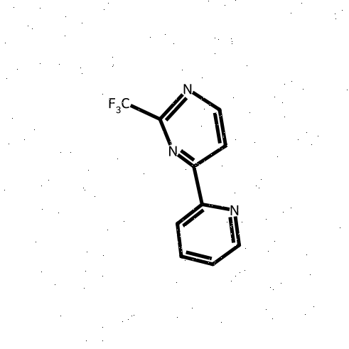 FC(F)(F)c1nccc(-c2ccccn2)n1